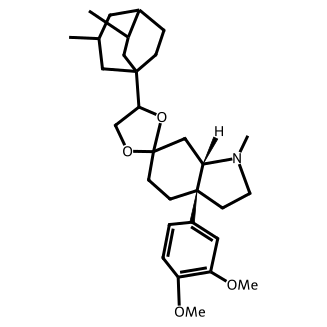 COc1ccc([C@]23CCN(C)[C@H]2CC2(CC3)OCC(C34CCC(CC(C)C3)C(C)C4)O2)cc1OC